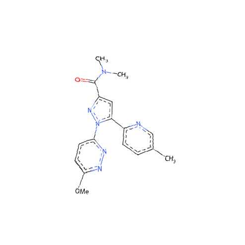 COc1ccc(-n2nc(C(=O)N(C)C)cc2-c2ccc(C)cn2)nn1